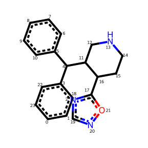 c1ccc(C(c2ccccc2)C2CNCCC2c2ncno2)cc1